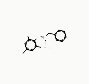 Cc1cc(C(C)(C)C)c(OP(F)Cc2ccccc2)c(C(C)(C)C)c1